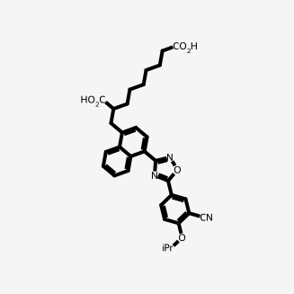 CC(C)Oc1ccc(-c2nc(-c3ccc(CC(CCCCCCC(=O)O)C(=O)O)c4ccccc34)no2)cc1C#N